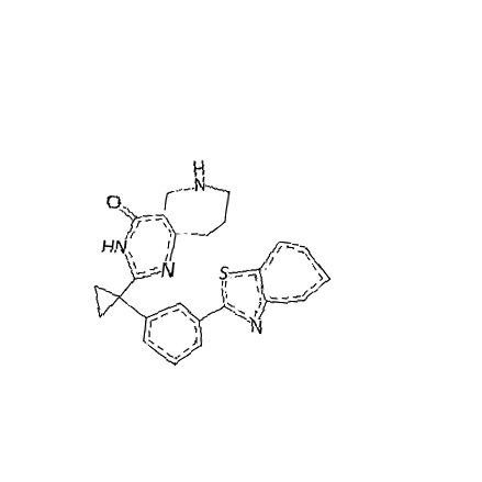 O=c1[nH]c(C2(c3cccc(-c4nc5ccccc5s4)c3)CC2)nc2c1CNCCC2